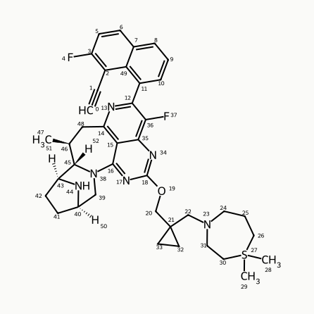 C#Cc1c(F)ccc2cccc(-c3nc4c5c(nc(OCC6(CN7CCCS(C)(C)CC7)CC6)nc5c3F)N3C[C@H]5CC[C@H](N5)[C@@H]3[C@@H](C)C4)c12